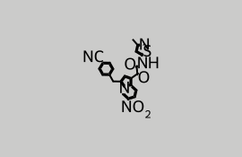 Cc1cc(NC(=O)C(=O)c2cc(Cc3ccc(C#N)cc3)n3cc([N+](=O)[O-])ccc23)sn1